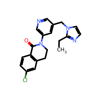 CCc1nccn1Cc1cncc(N2CCc3cc(Cl)ccc3C2=O)c1